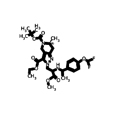 CCOC(=O)c1c2c(nn1CC(NC(C)c1ccc(OC(F)F)cc1)C(=O)OC)C[C@@H](C)N(C(=O)OC(C)(C)C)C2